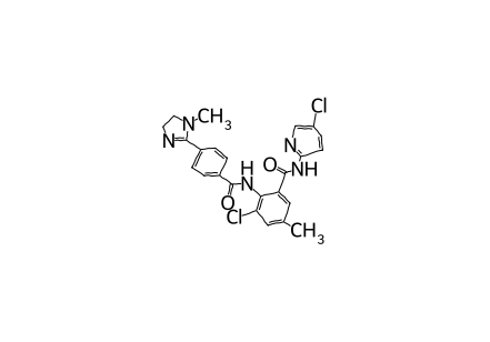 Cc1cc(Cl)c(NC(=O)c2ccc(C3=NCCN3C)cc2)c(C(=O)Nc2ccc(Cl)cn2)c1